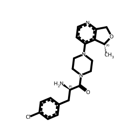 C[C@H]1OCc2nccc(N3CCN(C(=O)[C@H](N)Cc4ccc(Cl)cc4)CC3)c21